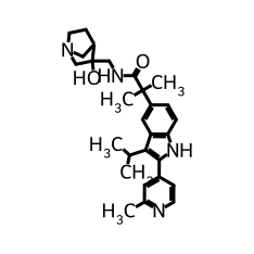 Cc1cc(-c2[nH]c3ccc(C(C)(C)C(=O)NCC4(O)CN5CCC4C5)cc3c2C(C)C)ccn1